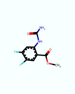 COC(=O)c1cc(F)c(F)cc1NC(N)=O